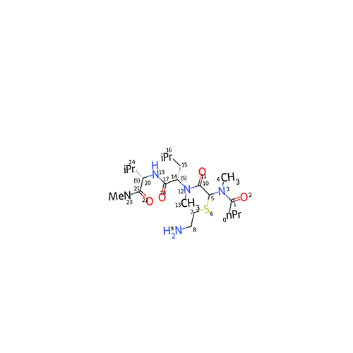 CCCC(=O)N(C)C(SCCN)C(=O)N(C)[C@@H](CC(C)C)C(=O)N[C@H](C(=O)NC)C(C)C